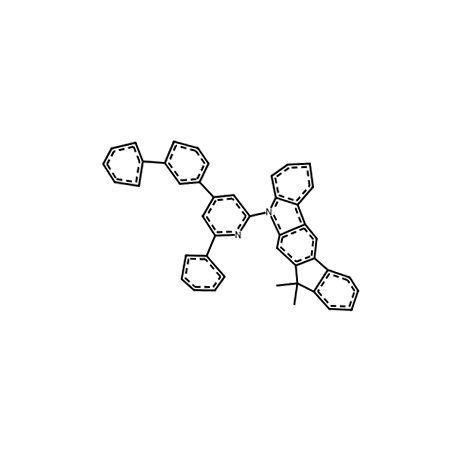 CC1(C)c2ccccc2-c2cc3c4ccccc4n(-c4cc(-c5cccc(-c6ccccc6)c5)cc(-c5ccccc5)n4)c3cc21